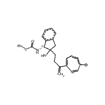 C=C(CCC1(CCC)Cc2ccccc2[C@H]1NC(=O)OC(C)(C)C)C1=CC=C=C(Br)C=N1